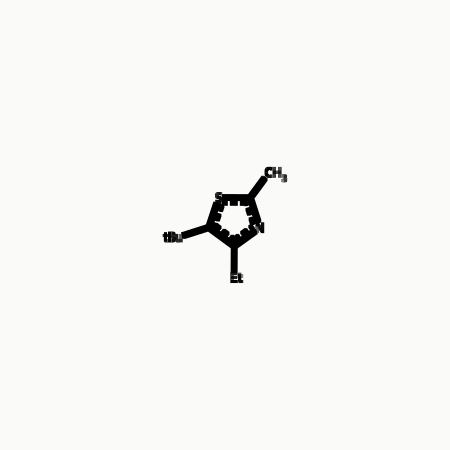 CCc1nc(C)sc1C(C)(C)C